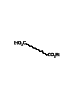 CCOC(=O)CCCCCCCCCCCCCC(=O)OCC